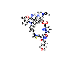 CCn1c(-c2cc(N3CCN(C)CC3)cnc2[C@H](C)OC)c2c3cc(ccc31)-c1csc(n1)C[C@H](NC(=O)[C@H]1CC13CCOCC3)C(=O)N1CCC[C@H](N1)C(=O)OCC(C)(C)C2